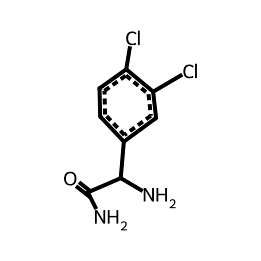 NC(=O)C(N)c1ccc(Cl)c(Cl)c1